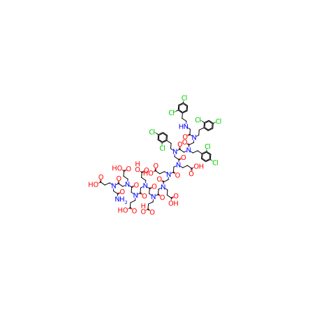 NC(=O)CN(CCC(=O)O)C(=O)CN(CCC(=O)O)C(=O)CN(CCC(=O)O)C(=O)CN(CCC(=O)O)C(=O)CN(CCC(=O)O)C(=O)CN(CCC(=O)O)C(=O)CN(CCC(=O)O)C(=O)CN(CCC(=O)O)C(=O)CN(CCc1ccc(Cl)cc1Cl)C(=O)CN(CCc1ccc(Cl)cc1Cl)C(=O)CN(CCc1ccc(Cl)cc1Cl)C(=O)CNCCc1ccc(Cl)cc1Cl